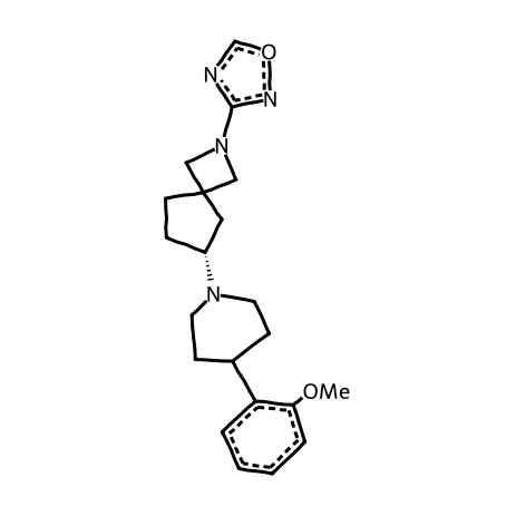 COc1ccccc1C1CCN([C@@H]2CCC3(C2)CN(c2ncon2)C3)CC1